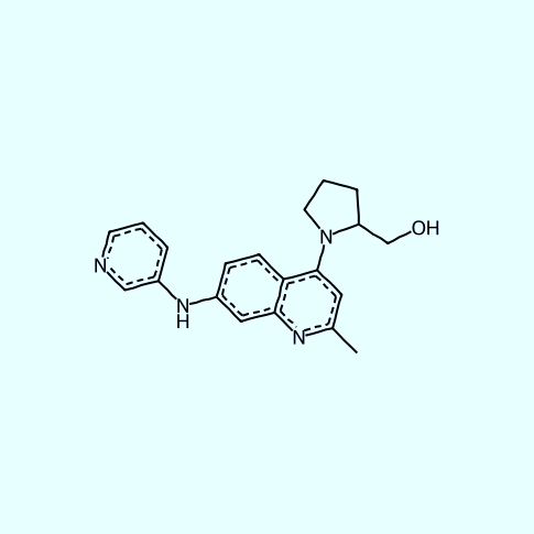 Cc1cc(N2CCCC2CO)c2ccc(Nc3cccnc3)cc2n1